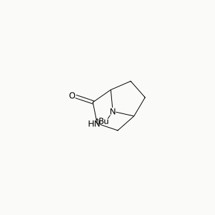 CC(C)(C)N1C2CCC1C(=O)NC2